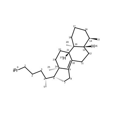 CC(C)CCC[C@@H](C)[C@H]1CCC2=C3CC[C@H]4[C@H](C)CCC[C@]4(C)[C@H]3CC[C@@]21C